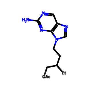 CCC(CCn1cnc2cnc(N)nc21)COC(C)=O